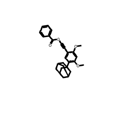 COc1cc(OC)c(C23CC4CC(CC(C4)C2)C3)cc1C#COC(=O)c1ccccc1